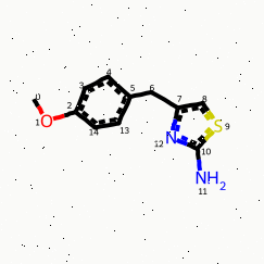 COc1ccc(Cc2csc(N)n2)cc1